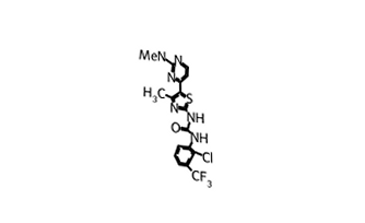 CNc1nccc(-c2sc(NC(=O)Nc3cccc(C(F)(F)F)c3Cl)nc2C)n1